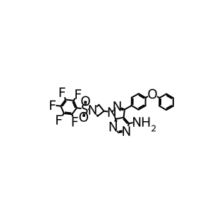 Nc1ncnc2c1c(-c1ccc(Oc3ccccc3)cc1)nn2C1CN(S(=O)(=O)c2c(F)c(F)c(F)c(F)c2F)C1